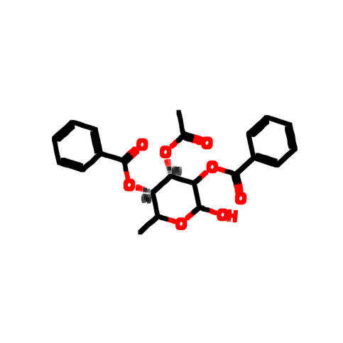 CC(=O)O[C@@H]1C(OC(=O)c2ccccc2)C(O)OC(C)[C@@H]1OC(=O)c1ccccc1